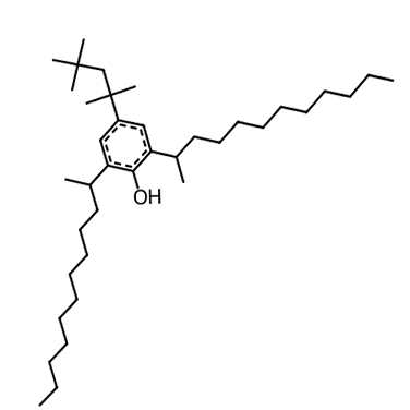 CCCCCCCCCCC(C)c1cc(C(C)(C)CC(C)(C)C)cc(C(C)CCCCCCCCCC)c1O